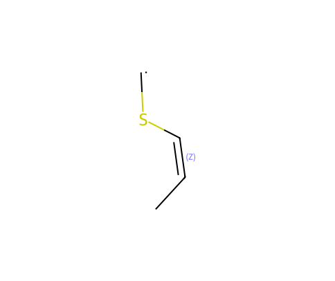 [CH2]S/C=C\C